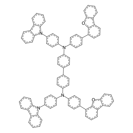 c1ccc2c(c1)oc1c(-c3ccc(N(c4ccc(-c5ccc(N(c6ccc(-c7cccc8c7oc7ccccc78)cc6)c6ccc(-n7c8ccccc8c8ccccc87)cc6)cc5)cc4)c4ccc(-n5c6ccccc6c6ccccc65)cc4)cc3)cccc12